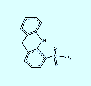 NS(=O)(=O)c1cccc2c1Nc1ccccc1C2